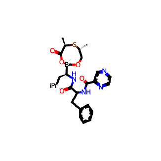 CC(C)C[C@H](NC(=O)C(Cc1ccccc1)NC(=O)c1cnccn1)B1OC[C@@H](C)S[C@H](C)C(=O)O1